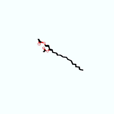 CCCCCCCCCCCCCCC=C(C=COC(C)=O)OC(C)=O